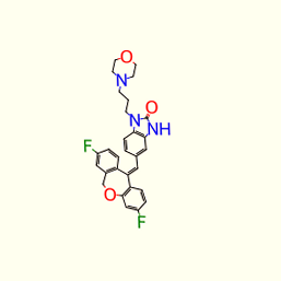 O=c1[nH]c2cc(/C=C3\c4ccc(F)cc4COc4cc(F)ccc43)ccc2n1CCCN1CCOCC1